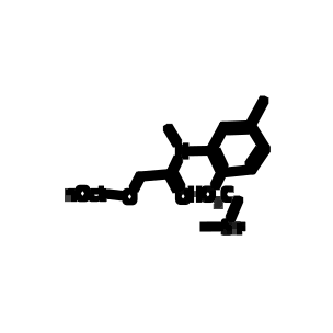 CCCCCCCCOCC(=O)N(C)c1cc(C)ccc1C(=O)O.[CH3][Sn][CH3]